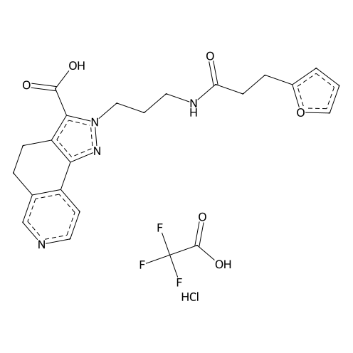 Cl.O=C(CCc1ccco1)NCCCn1nc2c(c1C(=O)O)CCc1cnccc1-2.O=C(O)C(F)(F)F